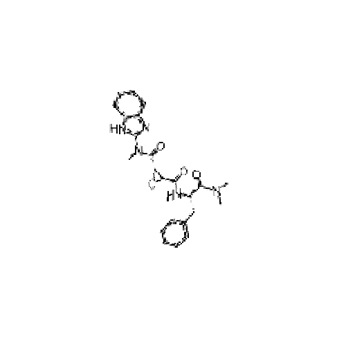 CN(C)C(=O)[C@H](Cc1ccccc1)NC(=O)[C@H]1O[C@@H]1C(=O)N(C)c1nc2ccccc2[nH]1